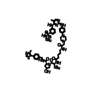 Cc1cnc(Nc2ccc(N3CCN(CC(=O)NCCCCC(=O)NC(C(=O)N4C[C@H](O)C[C@H]4C(=O)NCc4ccc(-c5scnc5C)cc4)C(C)(C)C)CC3)cc2)nc1Nc1cccc(S(=O)(=O)NC(C)(C)C)c1